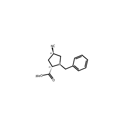 [C-]#[N+][C@@H]1C[C@@H](C(=O)OC)N(Cc2ccccc2)C1